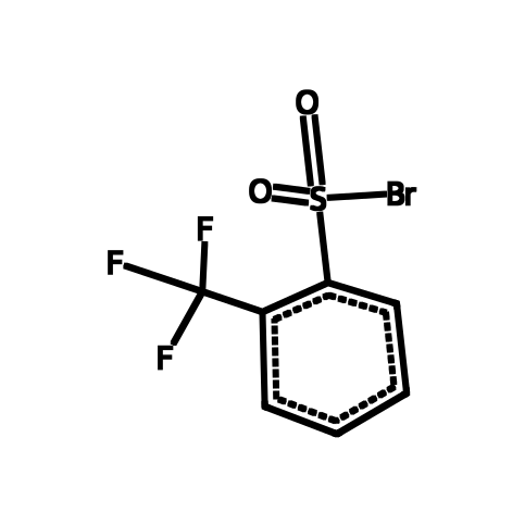 O=S(=O)(Br)c1ccccc1C(F)(F)F